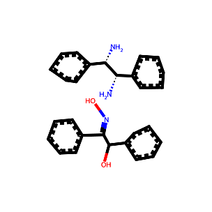 N[C@@H](c1ccccc1)[C@@H](N)c1ccccc1.O/N=C(\c1ccccc1)C(O)c1ccccc1